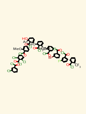 CC(=O)C1(O)C=CC=CC1C(=O)Cl.COc1cccc(OC)c1C(=O)Cl.COc1ccccc1C(=O)Cl.Cc1ccccc1C(=O)Cl.O=C(Cl)c1c(Cl)cccc1Cl.O=C(Cl)c1cccc(Br)c1.O=C(Cl)c1cccc(Cl)c1.O=C(Cl)c1cccc(F)c1.O=C(Cl)c1ccccc1C(F)(F)F